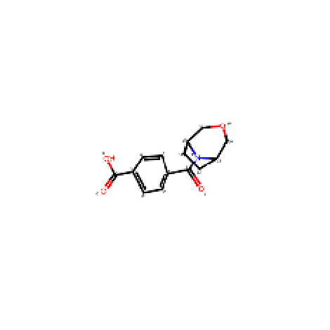 O=C(O)c1ccc(C(=O)N2C3CCC2COC3)cc1